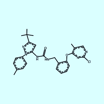 Cc1ccc(-n2nc(C(C)(C)C)cc2NC(=O)NCc2ccccc2Oc2nc(Cl)ncc2C)cc1